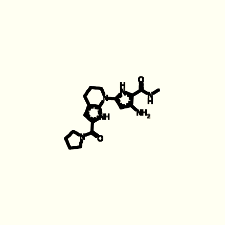 CNC(=O)c1[nH]c(N2CCCc3cc(C(=O)N4CCCC4)[nH]c32)cc1N